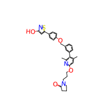 Cc1cc(OCCCN2CCCC2=O)nc(C)c1-c1cccc(COc2ccc(-c3cc(O)ns3)cc2)c1